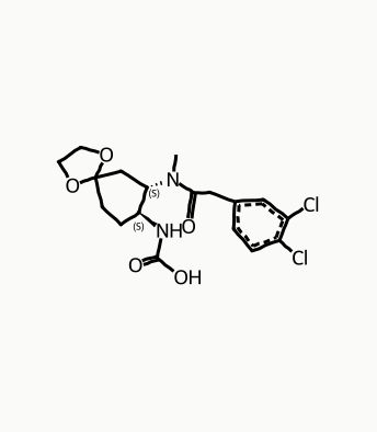 CN(C(=O)Cc1ccc(Cl)c(Cl)c1)[C@H]1CC2(CC[C@@H]1NC(=O)O)OCCO2